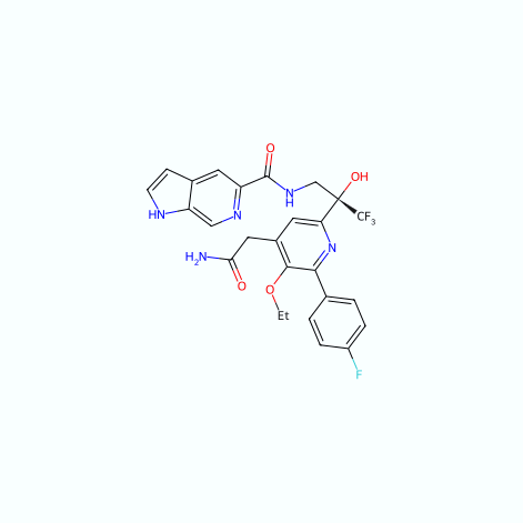 CCOc1c(CC(N)=O)cc([C@@](O)(CNC(=O)c2cc3cc[nH]c3cn2)C(F)(F)F)nc1-c1ccc(F)cc1